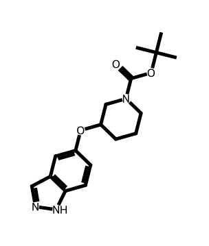 CC(C)(C)OC(=O)N1CCCC(Oc2ccc3[nH]ncc3c2)C1